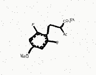 CCOC(=O)C(Cc1c(F)cc(OC)cc1F)C(C)=O